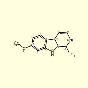 COc1ccc2c(c1)NC1C(C)NC=CC21